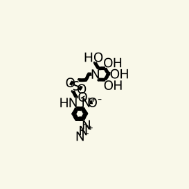 [N-]=[N+]=Nc1ccc(NCCS(=O)(=O)CCCN2CC(O)C(O)C(O)C2CO)c([N+](=O)[O-])c1